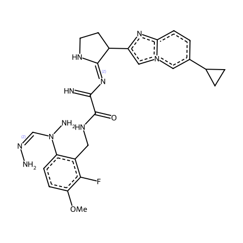 COc1ccc(N(N)/C=N\N)c(CNC(=O)C(=N)/N=C2\NCCC2c2cn3cc(C4CC4)ccc3n2)c1F